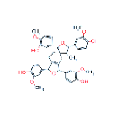 COc1ccc([C@@H]2O[C@H](c3ccc(O)c(OC)c3)[C@H](C)[C@]23CCC2=C(C3)[C@@H](c3ccc(O)c(OC)c3)O[C@H]2c2ccc(O)c(OC)c2)cc1O